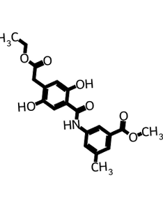 CCOC(=O)Cc1cc(O)c(C(=O)Nc2cc(C)cc(C(=O)OC)c2)cc1O